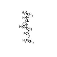 CN(C)CCOc1cc(F)cc(-c2cncc3[nH]c(-c4n[nH]c5ccc(-c6cncc(NC(=O)CN(C)C)c6)cc45)cc23)c1